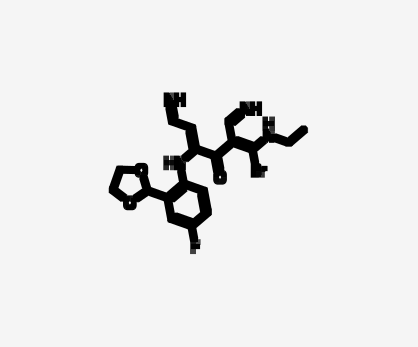 CCN/C(Br)=C(\C=N)C(=O)/C(=C/C=N)Nc1ccc(F)cc1C1OCCO1